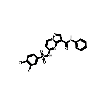 O=C(Nc1ccccc1)c1cnn2ccc(NS(=O)(=O)c3ccc(Cl)c(Cl)c3)nc12